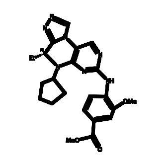 CC[C@@H]1c2nncn2-c2cnc(Nc3ccc(C(=O)OC)cc3OC)nc2N1C1CCCC1